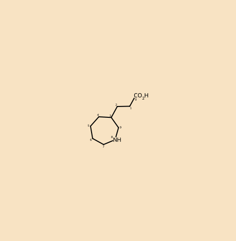 O=C(O)CCC1CCCCNC1